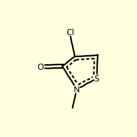 Cn1scc(Cl)c1=O